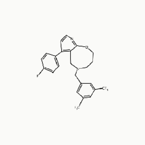 Fc1ccc(-c2ccnc3c2CN(Cc2cc(C(F)(F)F)cc(C(F)(F)F)c2)CCCO3)cc1